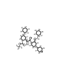 CC(C)(C)OC(=O)c1ccc(-c2ccccc2)cc1NC(=O)c1ccc(-c2ccncc2)cc1OCc1ccccc1